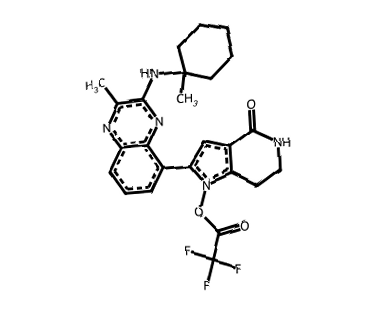 Cc1nc2cccc(-c3cc4c(n3OC(=O)C(F)(F)F)CCNC4=O)c2nc1NC1(C)CCCCC1